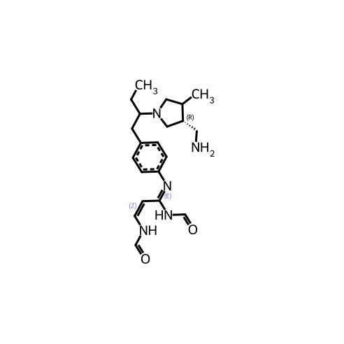 CCC(Cc1ccc(/N=C(\C=C/NC=O)NC=O)cc1)N1CC(C)[C@H](CN)C1